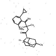 CNc1cccc(C2CC2)c1C(=N)C(C)(C)CC(=O)N1C2CC3C[C@@H]1CC(C#N)(C3)C2